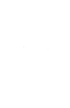 CCc1cccc(CC)c1C([O])CC